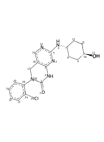 O=C1Nc2nc(N[C@H]3CC[C@H](O)CC3)ncc2CN1c1ccccc1Cl